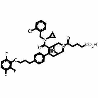 O=C(O)CCCC(=O)N1CC2CC(c3ccc(CCCOc4c(F)ccc(F)c4F)cc3)=C(C(=O)N(Cc3ccccc3Cl)C3CC3)C(C1)N2